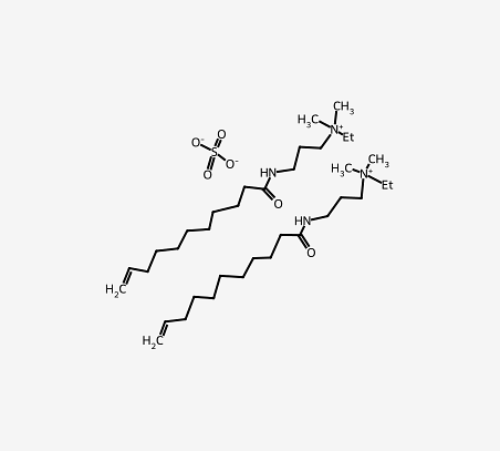 C=CCCCCCCCCC(=O)NCCC[N+](C)(C)CC.C=CCCCCCCCCC(=O)NCCC[N+](C)(C)CC.O=S(=O)([O-])[O-]